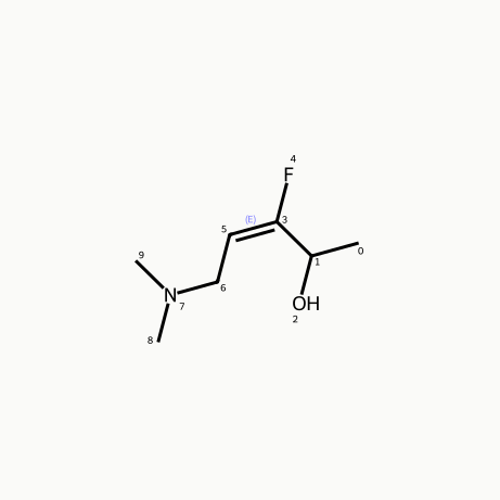 CC(O)/C(F)=C\CN(C)C